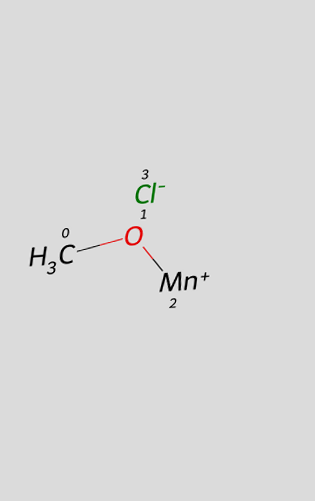 C[O][Mn+].[Cl-]